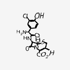 CC1=C(C(=O)O)N2C(=O)C(NC(=O)C(N)c3ccc(O)c(Cl)c3)[C@@H]2SC1